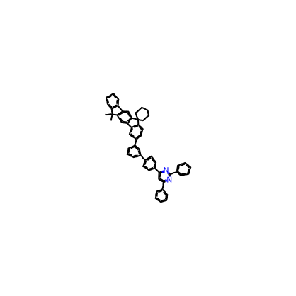 CC1(C)c2ccccc2-c2cc3c(cc21)-c1cc(-c2cccc(-c4ccc(-c5cc(-c6ccccc6)nc(-c6ccccc6)n5)cc4)c2)ccc1C31CCCCC1